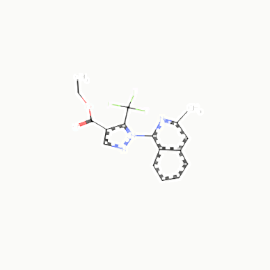 CCOC(=O)c1cnn(-c2nc(C)cc3ccccc23)c1C(F)(F)F